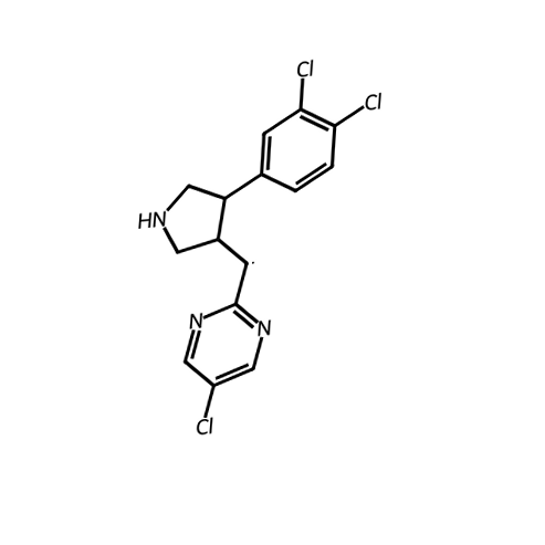 Clc1cnc([CH]C2CNCC2c2ccc(Cl)c(Cl)c2)nc1